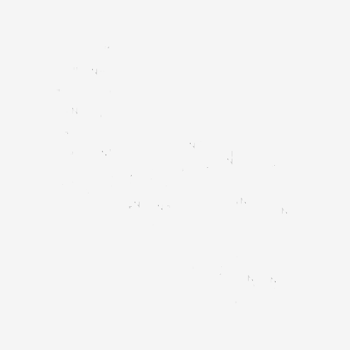 C[C@H]1CCOc2c(cnn2C)-c2nccc(n2)Nc2cc3c(cn2)c(-c2csc(CN4CCN(C)CC4)n2)nn31